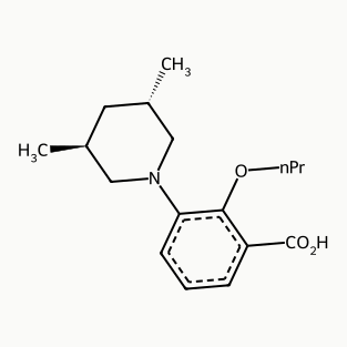 CCCOc1c(C(=O)O)cccc1N1C[C@@H](C)C[C@H](C)C1